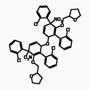 O=[N+]([O-])C1(c2ccccc2Cl)C=CC(OC2C=CC(c3ccccc3Cl)([N+](=O)[O-])C(OCC3CCCO3)=C2c2ccccc2Cl)C(c2ccccc2Cl)=C1OCC1CCCO1